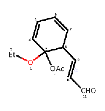 CCOC1(OC(C)=O)C=CC=CC1/C=C/C=O